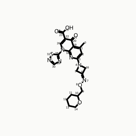 Cc1cc(N2CC(=NOCC3CCCCO3)C2)nc2c1c(=O)c(C(=O)O)cn2-c1ncns1